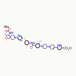 C[C@@H]1OCC2(CCN(c3cnc(Sc4cccc(NC(=O)c5ccc(N6CCC(N7CC=C(c8ccc(C(=O)O)nn8)CC7)CC6)c(F)c5)c4)cn3)CC2)[C@@H]1NC(=O)OC(C)(C)C